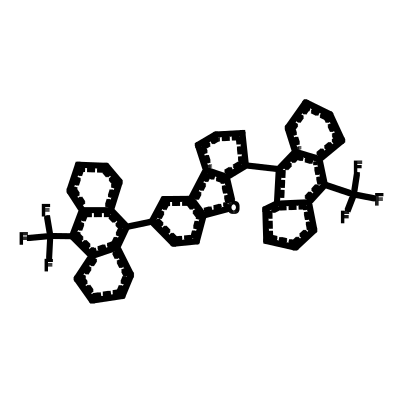 FC(F)(F)c1c2ccccc2c(-c2ccc3oc4c(-c5c6ccccc6c(C(F)(F)F)c6ccccc56)cccc4c3c2)c2ccccc12